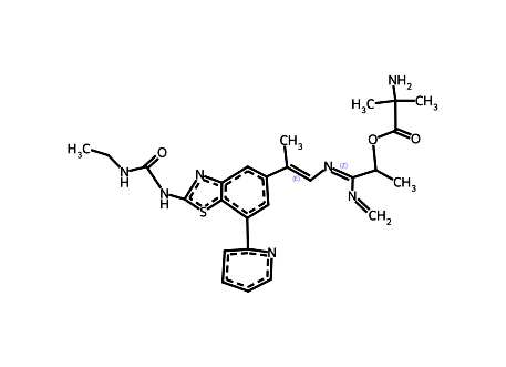 C=N/C(=N\C=C(/C)c1cc(-c2ccccn2)c2sc(NC(=O)NCC)nc2c1)C(C)OC(=O)C(C)(C)N